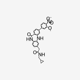 COc1cc(-c2ccc3c(c2)Nc2cc(CC(=O)NCC4CC4)ccc2NC3=O)ccc1[N+](=O)[O-]